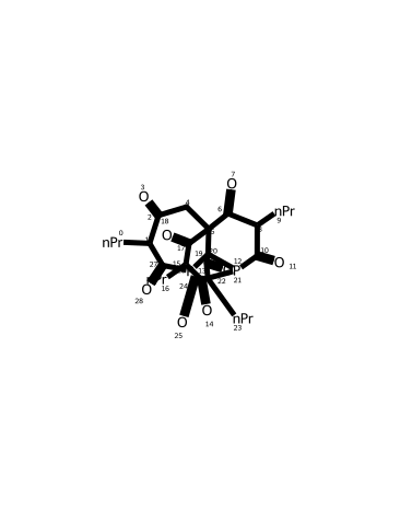 CCCC1C(=O)CC23C(=O)C(CCC)C(=O)P(C(=O)C(CCC)C2=O)C32C(=O)C(CCC)C(=O)P2C1=O